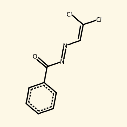 O=C(/N=N/C=C(Cl)Cl)c1ccccc1